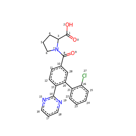 O=C(O)C1CCCN1C(=O)c1ccc(-c2ncccn2)c(-c2ccccc2Cl)c1